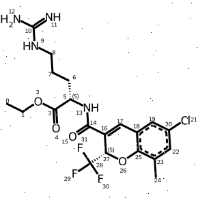 CCOC(=O)[C@H](CCCNC(=N)N)NC(=O)C1=Cc2cc(Cl)cc(C)c2O[C@@H]1C(F)(F)F